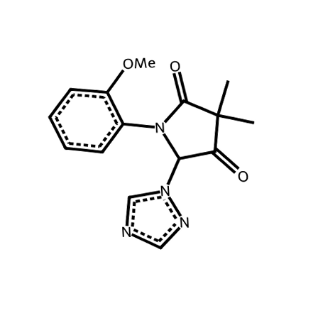 COc1ccccc1N1C(=O)C(C)(C)C(=O)C1n1cncn1